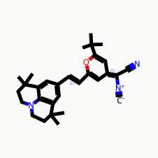 [C-]#[N+]/C(C#N)=C1C=C(/C=C/c2cc3c4c(c2)C(C)(C)CCN4CCC3(C)C)OC(C(C)(C)C)=C\1